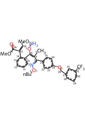 CCCCON=C(C(C)=C(ON)c1ccccc1C(=COC)C(=O)OC)c1ccc(OCc2cccc(C(F)(F)F)c2)cc1